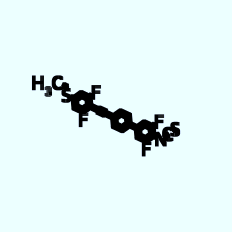 CCSc1cc(F)c(C#Cc2ccc(-c3cc(F)c(N=C=S)c(F)c3)cc2)c(F)c1